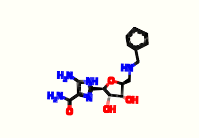 NC(=O)c1nc([C@H]2O[C@@H](CNCc3ccccc3)[C@H](O)[C@@H]2O)[nH]c1N